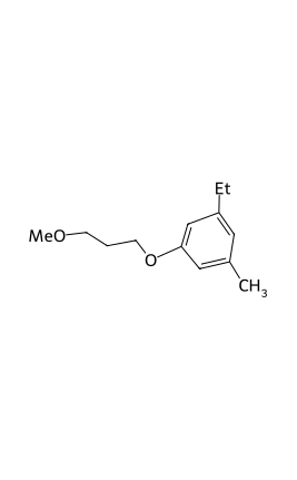 CCc1cc(C)cc(OCCCOC)c1